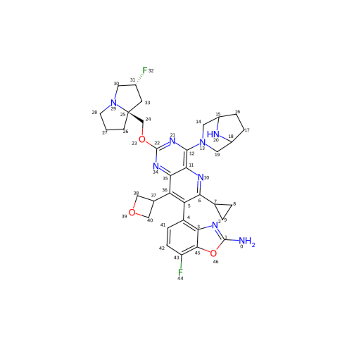 Nc1nc2c(-c3c(C4CC4)nc4c(N5CC6CCC(C5)N6)nc(OC[C@@]56CCCN5C[C@H](F)C6)nc4c3C3COC3)ccc(F)c2o1